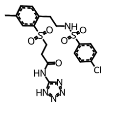 Cc1ccc(CCNS(=O)(=O)c2ccc(Cl)cc2)c(S(=O)(=O)CCC(=O)Nc2nnn[nH]2)c1